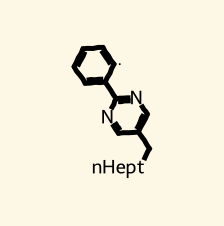 CCCCCCCCc1cnc(-c2[c]cccc2)nc1